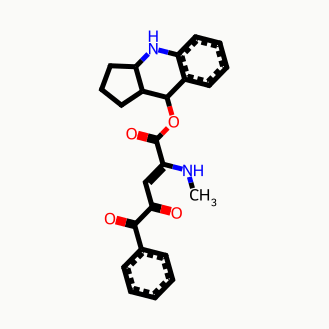 CNC(=CC(=O)C(=O)c1ccccc1)C(=O)OC1c2ccccc2NC2CCCC21